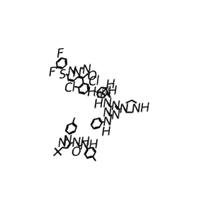 CC1(C)[C@H]2CC[C@@H](CNc3nc(Nc4ccccc4)nc(N4CCCNCC4)n3)[C@@H]1C2.Cc1ccc(NC(=O)Nc2cc(C(C)(C)C)nn2-c2ccc(C)cc2)cc1.O=c1ncn2nc(Sc3ccc(F)cc3F)ccc2c1-c1c(Cl)cccc1Cl